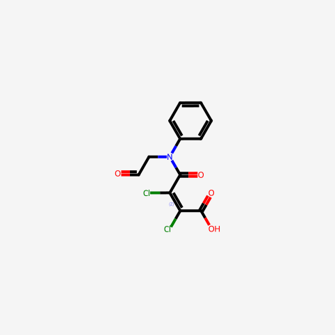 O=CCN(C(=O)/C(Cl)=C(/Cl)C(=O)O)c1ccccc1